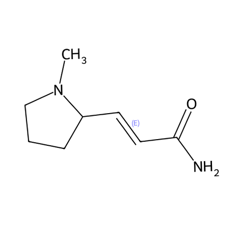 CN1CCCC1/C=C/C(N)=O